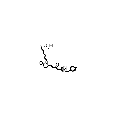 O=C(O)CCCCCCN1C(=O)CCC1C=CC(=O)Cc1cnn(Cc2ccccc2)c1